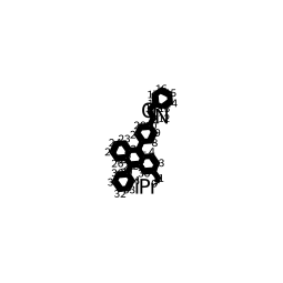 CC(C)Cc1ccc2c(-c3ccc(-c4nc5ccccc5o4)cc3)c3ccccc3c(-c3ccccc3)c2c1